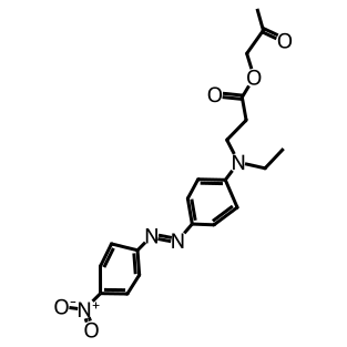 CCN(CCC(=O)OCC(C)=O)c1ccc(N=Nc2ccc([N+](=O)[O-])cc2)cc1